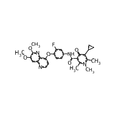 COc1cc2nccc(Oc3ccc(NC(=O)c4c(C)n(C)c(C)c(C5CC5)c4=O)cc3F)c2nc1OC